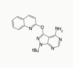 CC(C)(C)n1nc(Oc2ccc3ccccc3n2)c2c(N)ncnc21